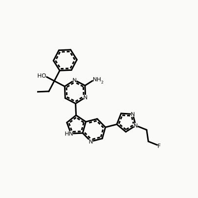 CCC(O)(c1ccccc1)c1cc(-c2c[nH]c3ncc(-c4cnn(CCF)c4)cc23)nc(N)n1